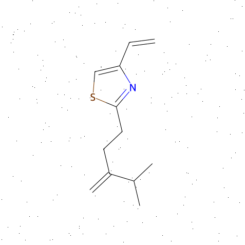 C=Cc1csc(CCC(=C)C(C)C)n1